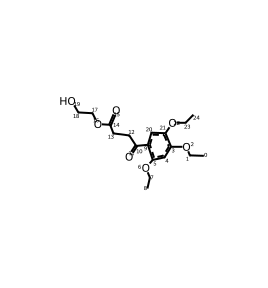 CCOc1cc(OCC)c(C(=O)CCC(=O)OCCO)cc1OCC